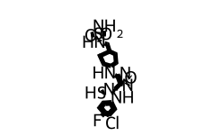 NS(=O)(=O)NCC1CCC(Nc2nonc2C(=NS)Nc2ccc(F)c(Cl)c2)CC1